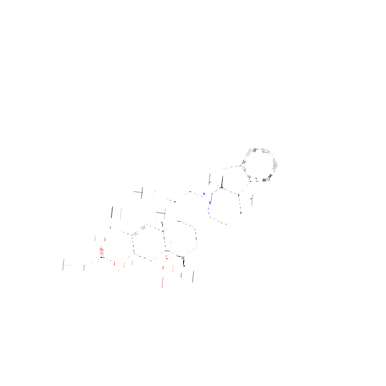 CC(=O)O[C@@H]1[CH][C@@]2(O)[C@H](C)CC[C@@H](C(C)CN3CCC[C@@H]4c5ccccc5C[C@@H]43)[C@H]2C=C1C